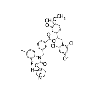 COc1ccc(C(Cc2c(Cl)c[n+]([O-])cc2Cl)OC(=O)c2cccc(CN(C(=O)O[C@H]3CN4CCC3CC4)c3ccc(F)cc3F)c2)cc1OC